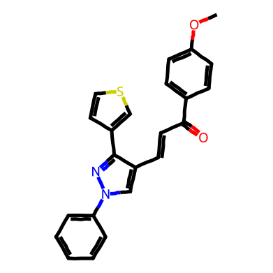 COc1ccc(C(=O)C=Cc2cn(-c3ccccc3)nc2-c2ccsc2)cc1